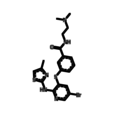 Cc1csc(Nc2ncc(Br)cc2Sc2cccc(C(=O)NCCN(C)C)c2)n1